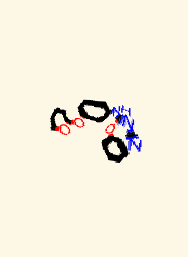 N#C/N=C(/Nc1cccc(OC2CCCCO2)c1)Oc1ccccc1